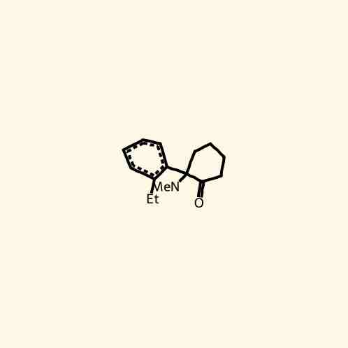 CCc1ccccc1C1(NC)CCCCC1=O